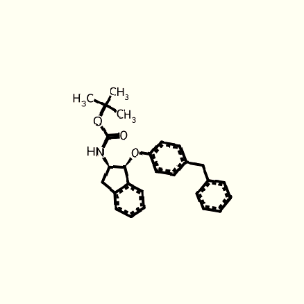 CC(C)(C)OC(=O)N[C@@H]1Cc2ccccc2[C@@H]1Oc1ccc(Cc2ccccc2)cc1